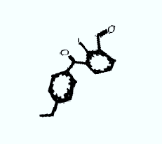 CCc1ccc(C(=O)c2cccc([C]=O)c2I)cc1